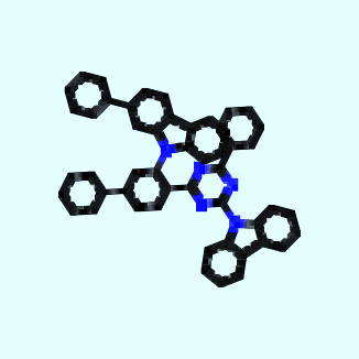 c1ccc(-c2ccc(-c3nc(-c4ccccc4)nc(-n4c5ccccc5c5ccccc54)n3)c(-n3c4ccccc4c4ccc(-c5ccccc5)cc43)c2)cc1